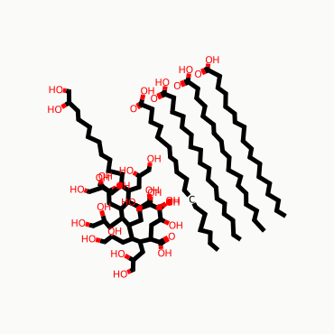 CCCCCCCCCCCCCCCCCC(=O)O.CCCCCCCCCCCCCCCCCC(=O)O.CCCCCCCCCCCCCCCCCC(=O)O.CCCCCCCCCCCCCCCCCC(=O)O.O=C(O)C(CC(O)CO)C(CC(O)CO)C(CC(O)CO)C(CC(O)CO)C(CC(O)CO)C(CC(O)CO)C(CC(O)CO)C(CC(O)CO)C(CCCCCCCCCC(O)CO)CC(O)CO